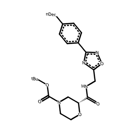 CCCCCCCCCCc1ccc(-c2noc(CNC(=O)[C@H]3CN(C(=O)OC(C)(C)C)CCO3)n2)cc1